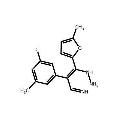 Cc1cc(Cl)cc(/C(C=N)=C(/NN)c2ccc(C)o2)c1